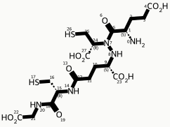 N[C@@H](CCC(=O)O)C(=O)N(N[C@@H](CCC(=O)N[C@@H](CS)C(=O)NCC(=O)O)C(=O)O)[C@@H](CS)C(=O)O